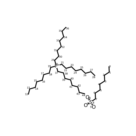 CCCCCCCCS(=O)(=O)[O-].CCCCCCCC[P+](CCCCCCCC)(CCCCCCCC)CCCCCCCC